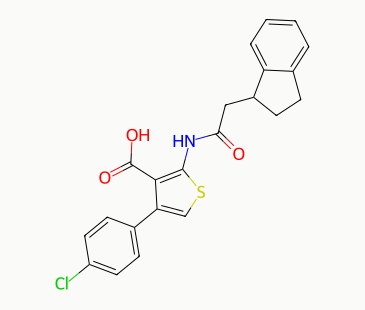 O=C(CC1CCc2ccccc21)Nc1scc(-c2ccc(Cl)cc2)c1C(=O)O